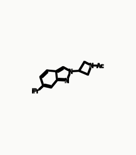 CC(=O)N1CC(n2cc3ccc(C(C)C)cc3n2)C1